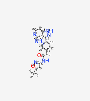 CC(C)(C)c1cc(NC(=O)Cc2ccc(-c3n[nH]c4ccnc(N)c34)cc2)no1